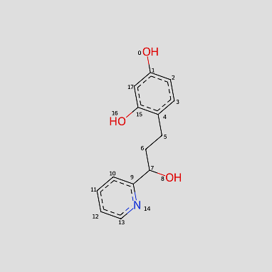 Oc1ccc(CCC(O)c2ccccn2)c(O)c1